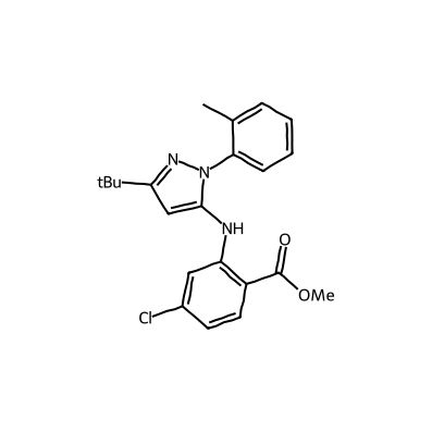 COC(=O)c1ccc(Cl)cc1Nc1cc(C(C)(C)C)nn1-c1ccccc1C